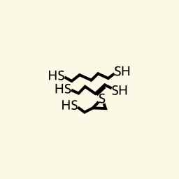 SC=CCCS.SCC1CS1.SCCCCCS